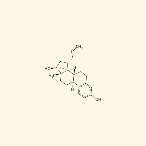 C=CC[C@H]1C[C@H](O)[C@@]2(C)CC[C@@H]3c4ccc(O)cc4CC[C@H]3[C@H]12